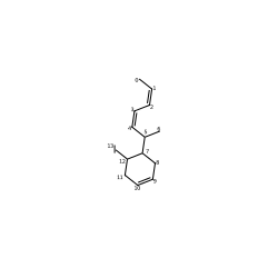 C/C=C\C=C/C(C)C1CC=CCC1I